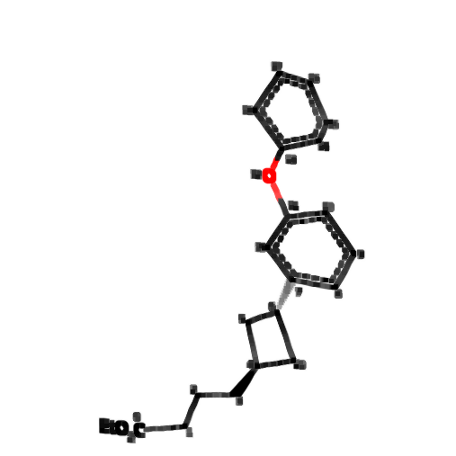 CCOC(=O)CCC[C@H]1C[C@H](c2cccc(Oc3ccccc3)c2)C1